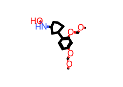 COCOc1ccc(C2CCCC(NO)C2)c(OCOC)c1